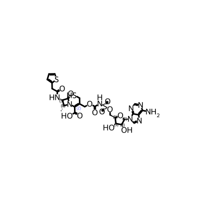 C[C@@H]1[C@H](NC(=O)Cc2cccs2)C(=O)N1/C(C(=O)O)=C(\CS)COC(=O)NS(=O)(=O)OC[C@H]1O[C@@H](n2cnc3c(N)ncnc32)[C@H](O)[C@@H]1O